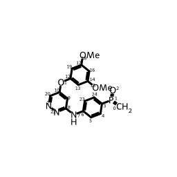 C=P(=O)c1ccc(Nc2cc(Oc3cc(OC)cc(OC)c3)cnn2)cc1